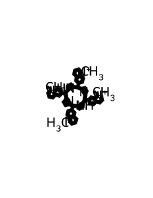 C[n+]1cccc2cc(-c3c4nc(c(-c5ccc6c(ccc[n+]6C)c5)c5ccc([nH]5)c(-c5ccc6ccc[n+](C)c6c5)c5nc(c(-c6ccc7c(ccc[n+]7C)c6)c6ccc3[nH]6)C=C5)C=C4)ccc21